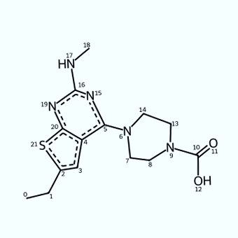 CCc1cc2c(N3CCN(C(=O)O)CC3)nc(NC)nc2s1